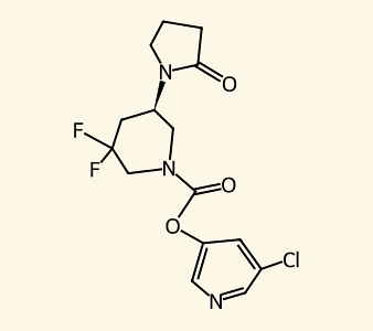 O=C(Oc1cncc(Cl)c1)N1C[C@H](N2CCCC2=O)CC(F)(F)C1